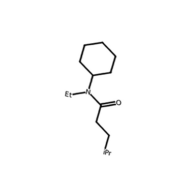 CCN(C(=O)CCC(C)C)C1CCCCC1